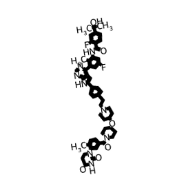 Cc1ccc(C(=O)N2CCC(OC3CCN(CCc4ccc(-c5cc6c(-c7cc(F)cc(NC(=O)c8ccc(C(C)(C)O)cc8F)c7C)ncnc6[nH]5)cc4)CC3)CC2)cc1N1CCC(=O)NC1=O